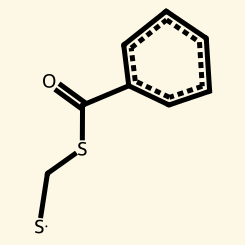 O=C(SC[S])c1ccccc1